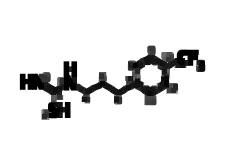 N=C(S)NCCCc1ccc(C(F)(F)F)cc1